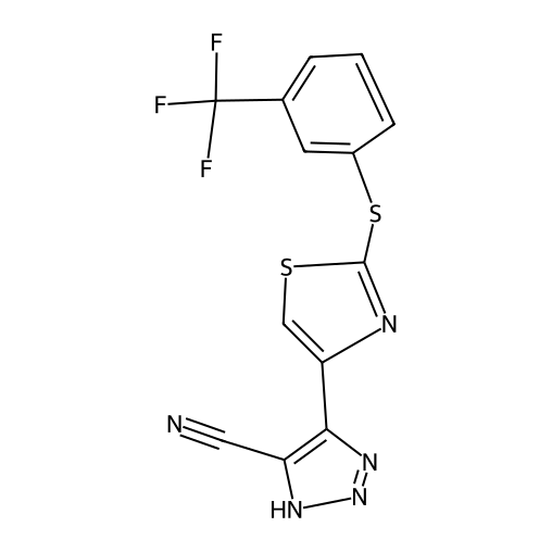 N#Cc1[nH]nnc1-c1csc(Sc2cccc(C(F)(F)F)c2)n1